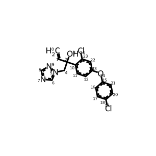 C=CC(O)(Cn1cncn1)c1ccc(Oc2ccc(Cl)cc2)cc1Cl